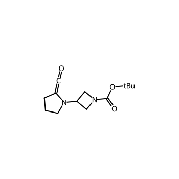 CC(C)(C)OC(=O)N1CC(N2CCCC2=C=O)C1